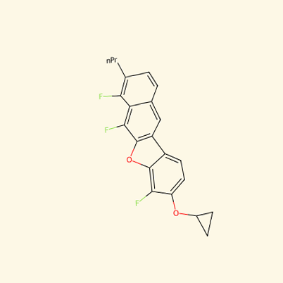 CCCc1ccc2cc3c(oc4c(F)c(OC5CC5)ccc43)c(F)c2c1F